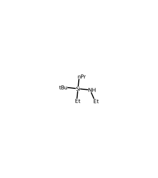 CCC[Si](CC)(NCC)C(C)(C)C